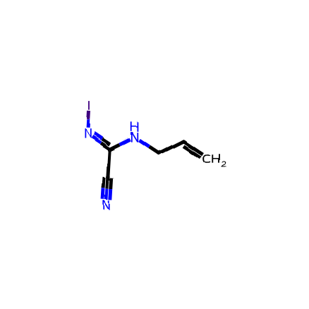 C=CCN/C(C#N)=N\I